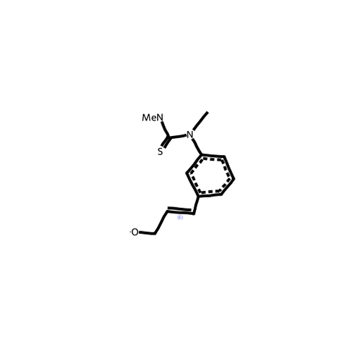 CNC(=S)N(C)c1cccc(/C=C/C[O])c1